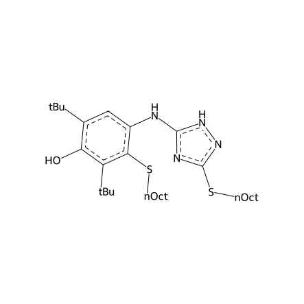 CCCCCCCCSc1n[nH]c(Nc2cc(C(C)(C)C)c(O)c(C(C)(C)C)c2SCCCCCCCC)n1